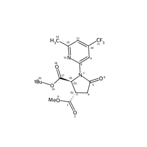 COC(=O)[C@H]1CC(=O)N(c2cc(C(F)(F)F)cc(C)n2)[C@@H]1C(=O)OC(C)(C)C